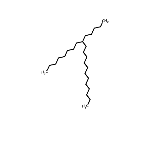 [CH2]CCCCC(CCCCCCCC)CCCCCCCCCCCC